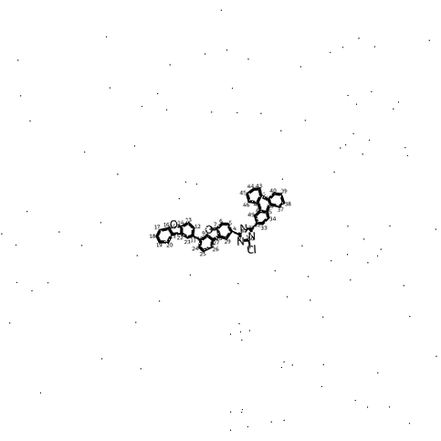 Clc1nc(-c2ccc3oc4c(-c5ccc6oc7ccccc7c6c5)cccc4c3c2)nc(-c2ccc3c4ccccc4c4ccccc4c3c2)n1